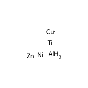 [AlH3].[Cu].[Ni].[Ti].[Zn]